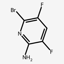 Nc1nc(Br)c(F)cc1F